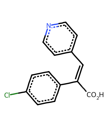 O=C(O)C(=Cc1ccncc1)c1ccc(Cl)cc1